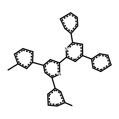 Cc1cccc(-c2cc(-c3cccc(C)c3)nc(-c3cc(-c4ccccc4)cc(-c4ccccc4)n3)c2)c1